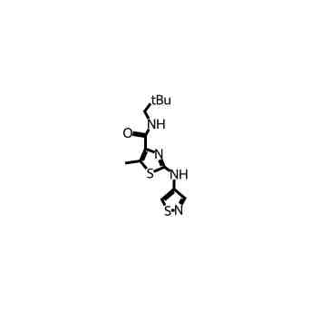 Cc1sc(Nc2cnsc2)nc1C(=O)NCC(C)(C)C